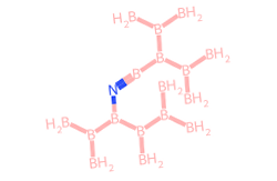 BB(B)B(B)B(/N=B/B(B(B)B)B(B)B)B(B)B